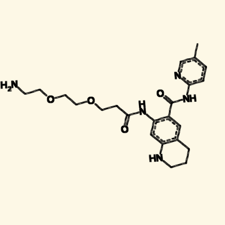 Cc1ccc(NC(=O)c2cc3c(cc2NC(=O)CCOCCOCCN)NCCC3)nc1